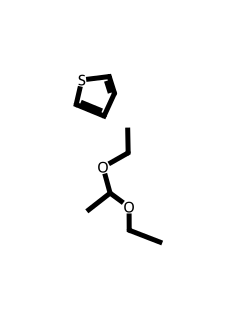 CCOC(C)OCC.c1ccsc1